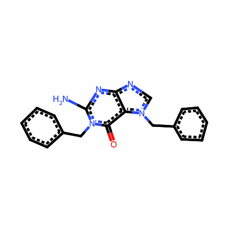 Nc1nc2ncn(Cc3ccccc3)c2c(=O)n1Cc1ccccc1